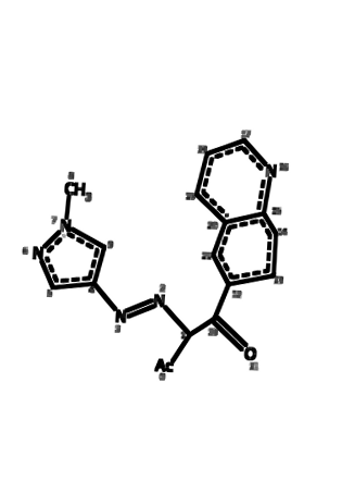 CC(=O)C(N=Nc1cnn(C)c1)C(=O)c1ccc2ncccc2c1